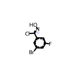 O/N=C(\Cl)c1cc(F)cc(Br)c1